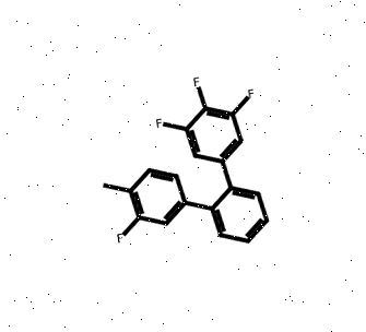 Cc1ccc(-c2ccccc2-c2cc(F)c(F)c(F)c2)cc1F